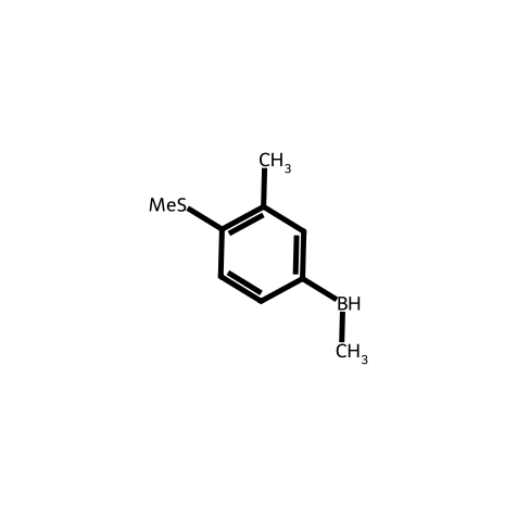 CBc1ccc(SC)c(C)c1